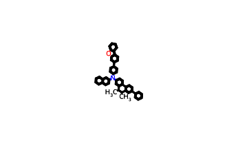 CC1c2cc(-c3ccccc3)ccc2-c2ccc(N(c3ccc(-c4ccc5c(c4)oc4ccccc45)cc3)c3ccc4ccccc4c3)cc2C1C